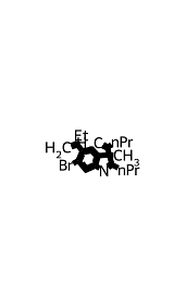 C=C(CC)c1cc2c(cc1Br)N=C(CCC)C2(C)C(=C)CCC